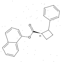 O=C(Oc1cccc2ccccc12)[C@@H]1CCC1c1ccccc1